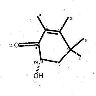 CC1=C(C)C(C)(C)C[C@H](O)C1=O